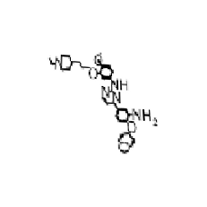 CCN1CCC(CCCOc2cc(Nc3nccc(-c4ccc(OC5CCOCC5)c(N)c4)n3)ccc2OC)CC1